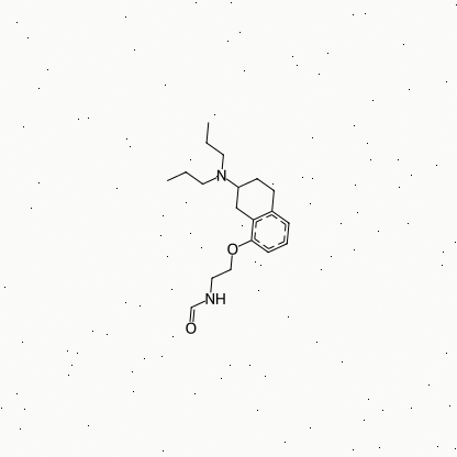 CCCN(CCC)C1CCc2cccc(OCCNC=O)c2C1